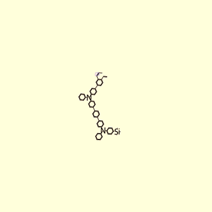 C=Cc1ccc(-c2ccc(N(c3ccccc3)c3ccc(-c4ccc(-c5ccc(N(c6ccccc6)c6ccc([Si](C)(C)C)cc6)cc5)cc4)cc3)cc2)cc1/C=C\C